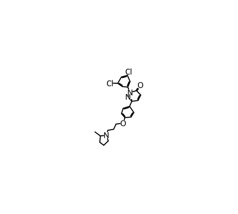 CC1CCCN1CCCOc1ccc(-c2ccc(=O)n(-c3cc(Cl)cc(Cl)c3)n2)cc1